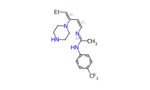 CC/C=C(/C=C\N=C(/C)Nc1ccc(C(F)(F)F)cc1)N1CCNCC1